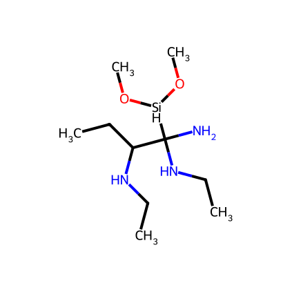 CCNC(CC)C(N)(NCC)[SiH](OC)OC